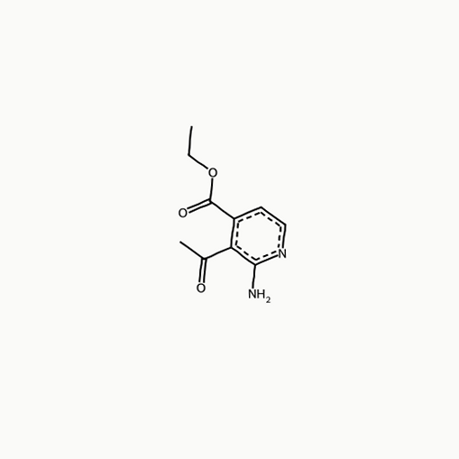 CCOC(=O)c1ccnc(N)c1C(C)=O